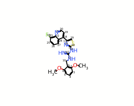 COc1cccc(OC)c1CNC(=N)Nc1nc(-c2ccnc3c(F)cccc23)cs1